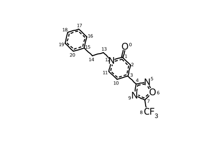 O=c1cc(-c2noc(C(F)(F)F)n2)ccn1CCc1ccccc1